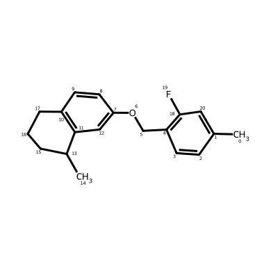 Cc1ccc(COc2ccc3c(c2)C(C)CCC3)c(F)c1